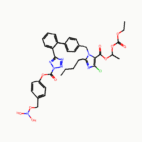 CCCCc1nc(Cl)c(C(=O)OC(C)OC(=O)OCC)n1Cc1ccc(-c2ccccc2-c2nnn(C(=O)Oc3ccc(CON(O)O)cc3)n2)cc1